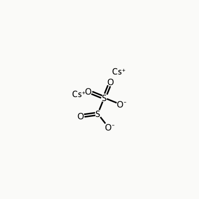 O=S([O-])S(=O)(=O)[O-].[Cs+].[Cs+]